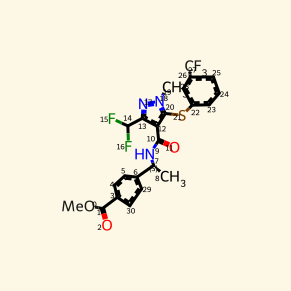 COC(=O)c1ccc([C@H](C)NC(=O)c2c(C(F)F)nn(C)c2Sc2cccc(C(F)(F)F)c2)cc1